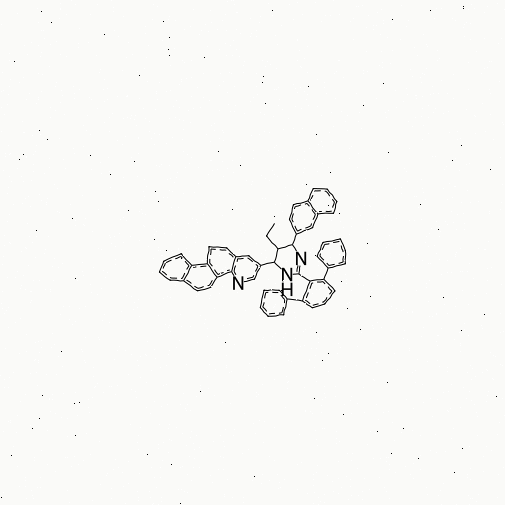 CCC1C(c2ccc3ccccc3c2)N=C(c2c(-c3ccccc3)cccc2-c2ccccc2)NC1c1cnc2c(ccc3c4ccccc4ccc32)c1